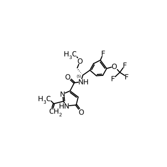 C=C(C)c1nc(C(=O)N[C@H](COC)c2ccc(OC(F)(F)F)c(F)c2)cc(=O)[nH]1